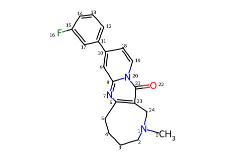 CN1CCCCc2nc3cc(-c4cccc(F)c4)ccn3c(=O)c2C1